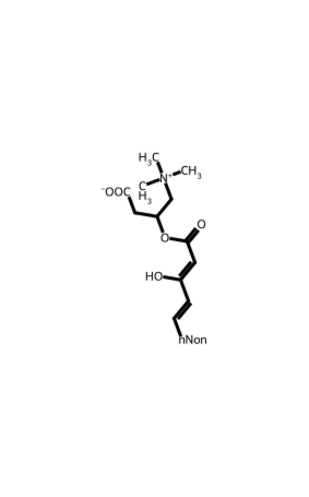 CCCCCCCCCC=CC(O)=CC(=O)OC(CC(=O)[O-])C[N+](C)(C)C